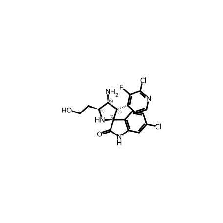 N[C@@H]1[C@H](CCO)N[C@@]2(C(=O)Nc3cc(Cl)ccc32)[C@H]1c1ccnc(Cl)c1F